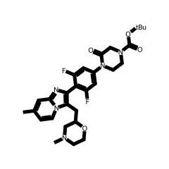 Cc1ccn2c(CC3CN(C)CCO3)c(-c3c(F)cc(N4CCN(C(=O)OC(C)(C)C)CC4=O)cc3F)nc2c1